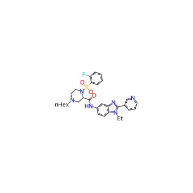 CCCCCCN1CCN(S(=O)(=O)c2ccccc2F)C(C(=O)Nc2ccc3c(c2)nc(-c2cccnc2)n3CC)C1